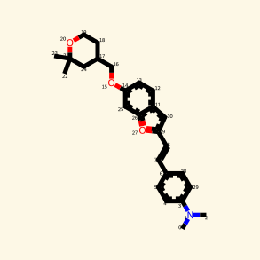 CN(C)c1ccc(C=Cc2cc3ccc(OCC4CCOC(C)(C)C4)cc3o2)cc1